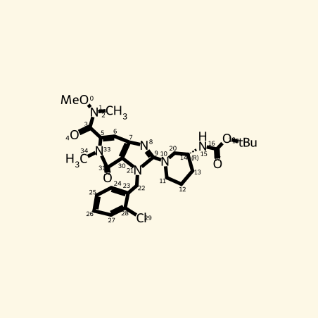 CON(C)C(=O)c1cc2nc(N3CCC[C@@H](NC(=O)OC(C)(C)C)C3)n(Cc3ccccc3Cl)c2c(=O)n1C